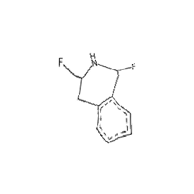 FC1Cc2ccccc2C(F)N1